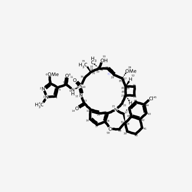 COc1nn(C)cc1C(=O)N[S@@]1(=O)=NC(=O)c2ccc3c(c2)N(C[C@@H]2CC[C@H]2[C@@H](OC)/C=C/[C@](C)(O)[C@H](C)C1)C[C@@]1(CCCc2cc(Cl)ccc21)CO3